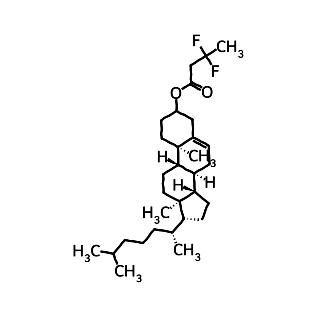 CC(C)CCC[C@@H](C)[C@H]1CC[C@H]2[C@@H]3CC=C4CC(OC(=O)CC(C)(F)F)CC[C@]4(C)[C@H]3CC[C@]12C